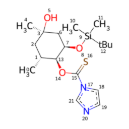 C[C@@H]1C[C@@](C)(O)C[C@@H](O[Si](C)(C)C(C)(C)C)[C@H]1OC(=S)n1ccnc1